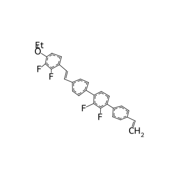 C=Cc1ccc(-c2ccc(-c3ccc(/C=C/c4ccc(OCC)c(F)c4F)cc3)c(F)c2F)cc1